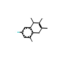 CC1=C(C)C(C)c2cc(F)cc(C(C)C)c2C1